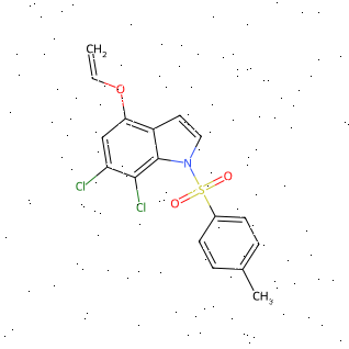 C=COc1cc(Cl)c(Cl)c2c1ccn2S(=O)(=O)c1ccc(C)cc1